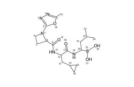 Cc1nnc(N2CCC2C(=O)NC(CC2CC2)C(=O)NC(CC(C)C)B(O)O)o1